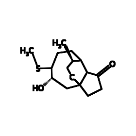 CSC1CCC2C3C(=O)CCC3(CC[C@H]2C)C[C@@H]1O